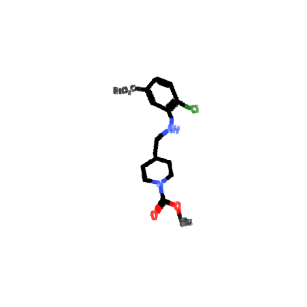 CCOC(=O)c1ccc(Cl)c(NCC2CCN(C(=O)OC(C)(C)C)CC2)c1